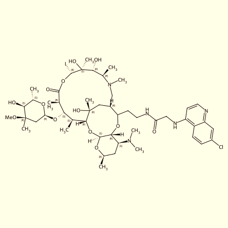 CO[C@]1(C)C[C@H](O[C@H]2[C@H](C)[C@H]3O[C@@H]4O[C@H](C)C[C@H](N(C)C)[C@H]4OC(CCNC(=O)CNc4ccnc5cc(Cl)ccc45)[C@@H](CN(C)[C@H](C)[C@@H](O)[C@](C)(O)[C@@H](I)OC(=O)[C@@H]2C)C[C@@]3(C)O)O[C@@H](C)[C@@H]1O